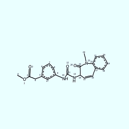 COC(=O)Cc1cccc(NC(=O)NC2C=Cc3ccccc3N(C)C2=O)c1